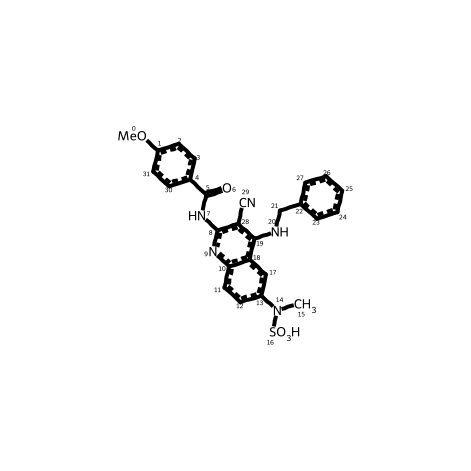 COc1ccc(C(=O)Nc2nc3ccc(N(C)S(=O)(=O)O)cc3c(NCc3ccccc3)c2C#N)cc1